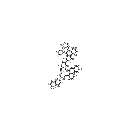 c1ccc(-c2c(-c3ccccc3)c3cc(-c4cccc(N(c5ccc(-c6ccc7ccccc7c6)cc5)c5cc6ccccc6c6ccccc56)c4)ccc3c3ccccc23)cc1